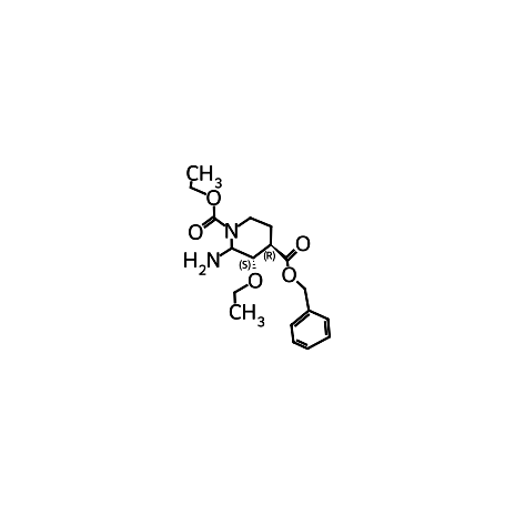 CCOC(=O)N1CC[C@@H](C(=O)OCc2ccccc2)[C@H](OCC)C1N